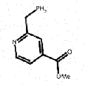 COC(=O)c1ccnc(CP)c1